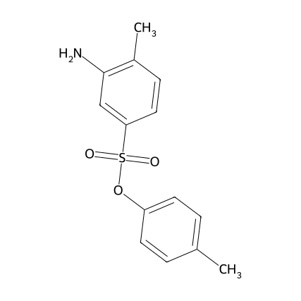 Cc1ccc(OS(=O)(=O)c2ccc(C)c(N)c2)cc1